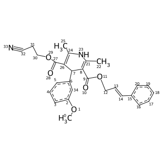 COc1cccc(C2C(C(=O)OCC=Cc3ccccc3)=C(C)NC(C)=C2C(=O)OCCC#N)c1